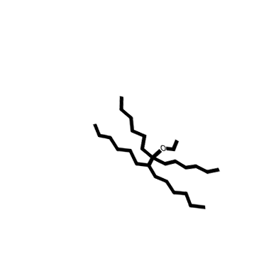 CCCCCCC(CCCCCC)C(CCCCCC)(CCCCCC)OCC